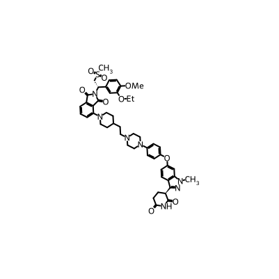 CCOc1cc([C@@H](CS(C)(=O)=O)N2C(=O)c3cccc(N4CCC(CCN5CCN(c6ccc(Oc7ccc8c([C@@H]9CCC(=O)NC9=O)nn(C)c8c7)cc6)CC5)CC4)c3C2=O)ccc1OC